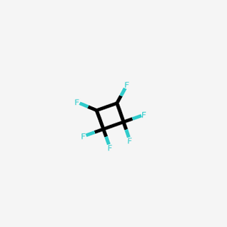 F[C]1C(F)C(F)(F)C1(F)F